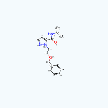 CCC(CC)NC(=O)c1ccnn1CCOCc1ccccc1